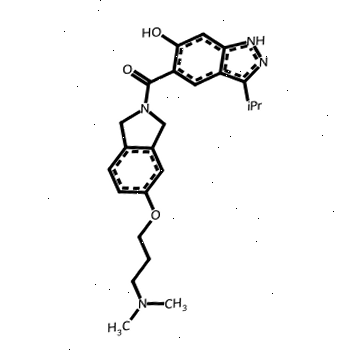 CC(C)c1n[nH]c2cc(O)c(C(=O)N3Cc4ccc(OCCCN(C)C)cc4C3)cc12